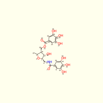 CC1O[C@H](CNC(=O)c2cc(O)c(O)c(O)c2)[C@@H](O)[C@@H]1COC(=O)c1cc(O)c(O)c(O)c1